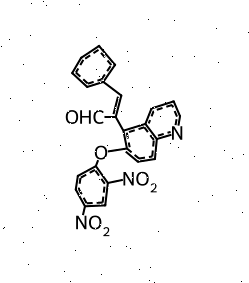 O=CC(=Cc1ccccc1)c1c(Oc2ccc([N+](=O)[O-])cc2[N+](=O)[O-])ccc2ncccc12